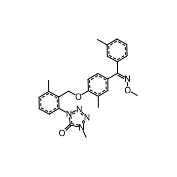 CON=C(c1cccc(C)c1)c1ccc(OCc2c(C)cccc2-n2nnn(C)c2=O)c(C)c1